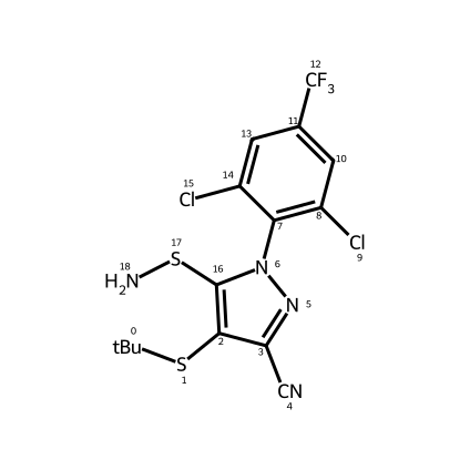 CC(C)(C)Sc1c(C#N)nn(-c2c(Cl)cc(C(F)(F)F)cc2Cl)c1SN